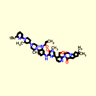 C=CC(=O)Nc1cc(Nc2nc(-c3ccnc(N4CCn5c(cc6c5CC(C)(C)C6)C4=O)c3CO)cn(C)c2=O)ccc1N1CCN(C2CCN(c3cccc(C(C)(C)C)n3)[C@@H](C)C2)C[C@@H]1C